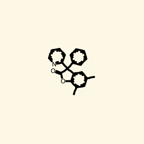 Cc1cc(C)c2c(c1)C(c1ccccc1)(c1ccccn1)C(=O)O2